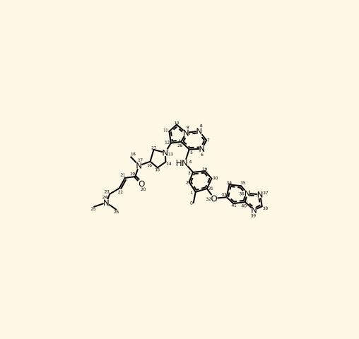 Cc1cc(Nc2ncnn3ccc(N4CCC(N(C)C(=O)/C=C/CN(C)C)C4)c23)ccc1Oc1ccn2ncnc2c1